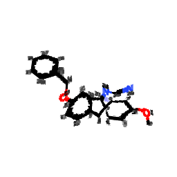 CO[C@H]1CC[C@]2(CC1)Cc1ccc(OCc3ccccc3)cc1/C2=N/C#N